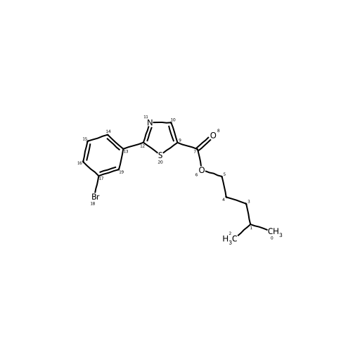 CC(C)CCCOC(=O)c1cnc(-c2cccc(Br)c2)s1